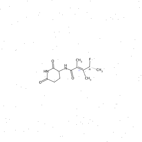 C/C(C(=O)NC1CCC(=O)NC1=O)=C(/C)[C@@H](C)F